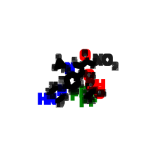 O=C(C[N+](=O)[O-])c1cn(C2CC2)c2cc(N3CCNCC3)c(F)cc2c1=O.O=C(O)C(F)(F)F